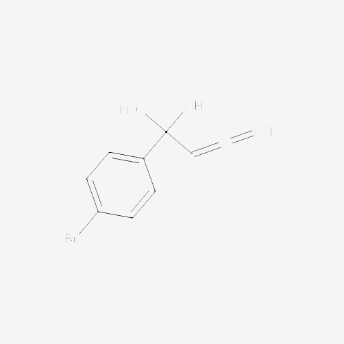 C=C=CC(C)(O)c1ccc(Br)cc1